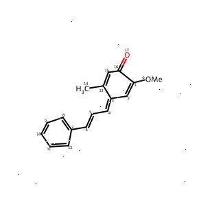 COC1=CC(=CC=Cc2ccccc2)C(C)=CC1=O